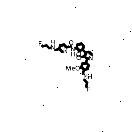 COc1cc(-c2nccc(-c3cccc(NC(=O)c4ccc(CNCCCF)cn4)c3Cl)c2Cl)ccc1CNCCCF